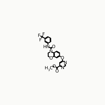 COC(=O)c1cc(Oc2ccc3c(c2)OCCN3C(=O)Nc2cccc(C(F)(F)F)c2)ncn1